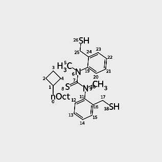 CCCCCCCCC1CCC1.CN(C(=S)N(C)c1ccccc1CS)c1ccccc1CS